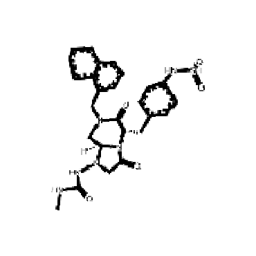 CNC(=O)NN1CC(=O)N2[C@@H]1CN(Cc1cccc3ccccc13)C(=O)[C@@H]2Cc1ccc(N[SH](=O)=O)cc1